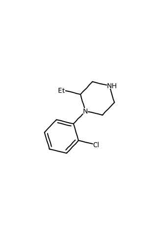 CCC1CNCCN1c1ccccc1Cl